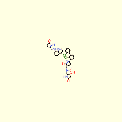 COc1nc(-c2cccc(-c3cccc(-c4cnc5c(c4)CCCC5NCC4CCC(=O)N4)c3Cl)c2Cl)ccc1CN(CC1CCC(=O)N1)C(=O)O